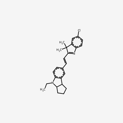 CCN1c2ccc(/C=C/C3=Nc4ccc(Cl)cc4C3(C)C)cc2C2CCCC21